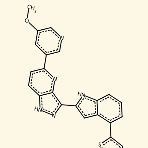 COc1cncc(-c2ccc3[nH]nc(-c4cc5c(-c6cccs6)cccc5[nH]4)c3n2)c1